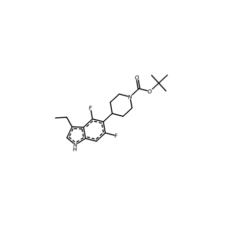 CCc1c[nH]c2cc(F)c(C3CCN(C(=O)OC(C)(C)C)CC3)c(F)c12